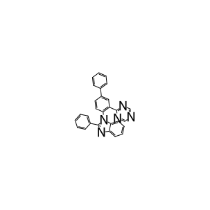 c1ccc(-c2ccc(-n3c(-c4ccccc4)nc4ccccc43)c(-c3ncncn3)c2)cc1